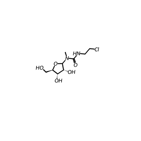 CN(C(=O)NCCCl)C1O[C@H](CO)[C@@H](O)[C@H]1O